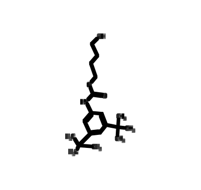 CC(C)(C)c1cc(NC(=O)OCCCCO)cc(C(C)(C)C)c1